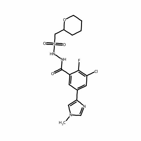 Cn1cnc(-c2cc(Cl)c(F)c(C(=O)NNS(=O)(=O)CC3CCCCO3)c2)c1